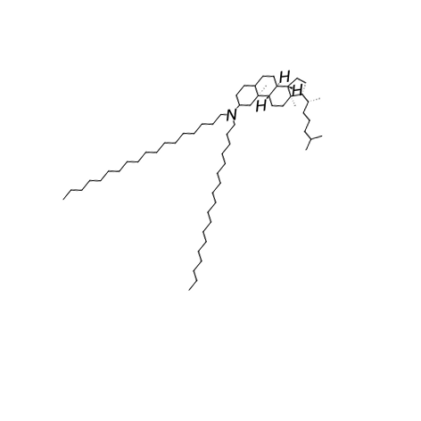 CCCCCCCCCCCCCCCCCCN(CCCCCCCCCCCCCCCCCC)C1CCC2CC[C@H]3[C@@H]4CC[C@H]([C@H](C)CCCC(C)C)[C@@]4(C)CC[C@@H]3[C@@]2(C)C1